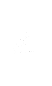 COc1ccccc1N/N=C(/Cl)C(=O)O